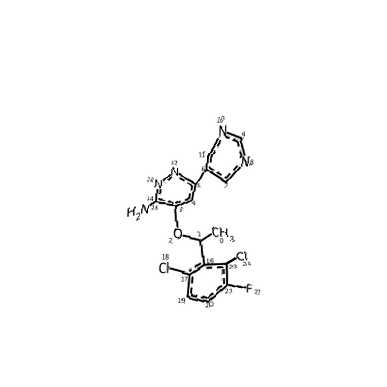 CC(Oc1cc(-c2cncnc2)nnc1N)c1c(Cl)ccc(F)c1Cl